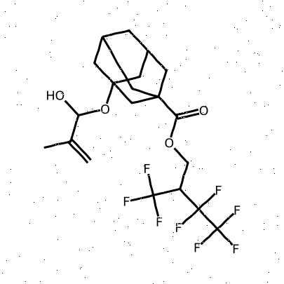 C=C(C)C(O)OC12CC3CC(C1)CC(C(=O)OCC(C(F)(F)F)C(F)(F)C(F)(F)F)(C3)C2